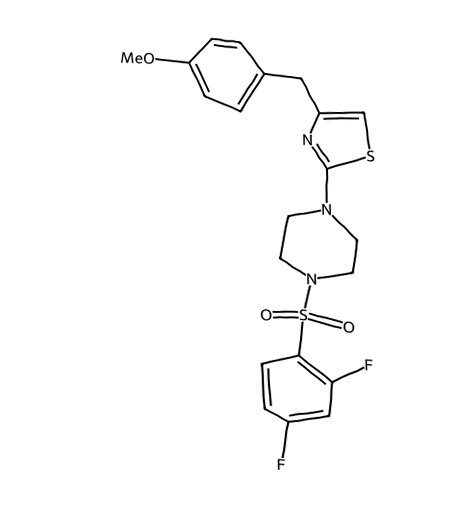 COc1ccc(Cc2csc(N3CCN(S(=O)(=O)c4ccc(F)cc4F)CC3)n2)cc1